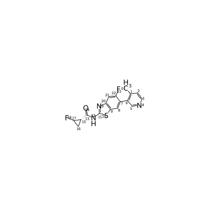 Cc1ccncc1-c1cc2sc(NC(=O)[C@@H]3CC3F)nc2cc1F